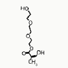 CC(=CO)C(=O)OCCOCCOCCO